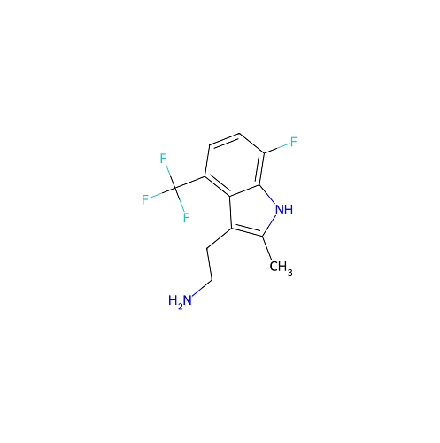 Cc1[nH]c2c(F)ccc(C(F)(F)F)c2c1CCN